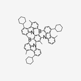 Cc1c2c3c4c5c1-n1c6cccc(C)c6c6c(C7CCCCC7)ccc(c61)B5c1ccc(C)c5c6c(C7CCCCC7)ccc(c6n-4c15)B3c1ccc(C)c3c4c(C5CCCCC5)cccc4n-2c13